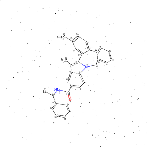 CCC(NC(=O)c1ccc2c(c1)c(C)c1n2Cc2ccccc2-c2ccc(C(=O)O)cc2-1)c1ccccc1